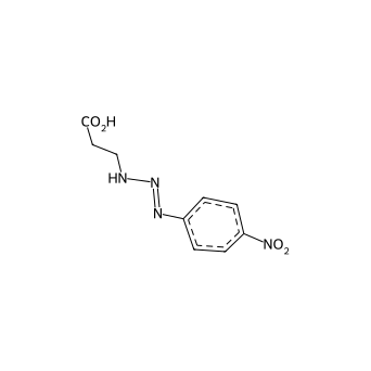 O=C(O)CCNN=Nc1ccc([N+](=O)[O-])cc1